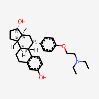 CCN(CC)CCOc1ccc([C@H]2C[C@]3(C)[C@@H](O)CC[C@H]3[C@@H]3CCc4cc(O)ccc4[C@H]32)cc1